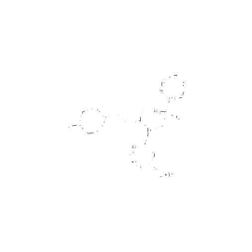 COc1cccc(N(CS(=O)(=O)c2ccccc2)C(C)CCN2CCC(C)CC2)c1